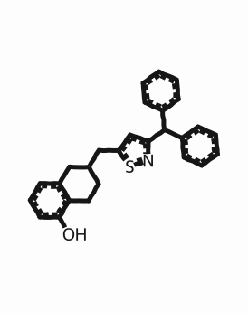 Oc1cccc2c1CCC(Cc1cc(C(c3ccccc3)c3ccccc3)ns1)C2